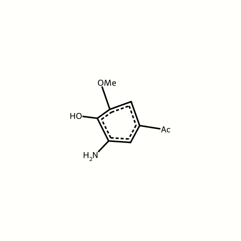 COc1cc(C(C)=O)cc(N)c1O